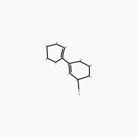 IC1C=C(C2=CCCCC2)CCC1